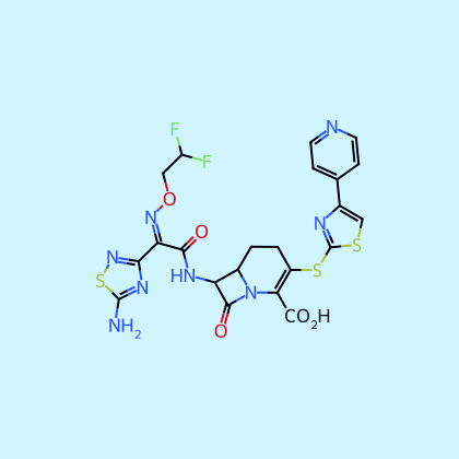 Nc1nc(/C(=N/OCC(F)F)C(=O)NC2C(=O)N3C(C(=O)O)=C(Sc4nc(-c5ccncc5)cs4)CCC23)ns1